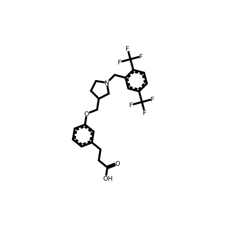 O=C(O)CCc1cccc(OCC2CCN(Cc3cc(C(F)(F)F)ccc3C(F)(F)F)C2)c1